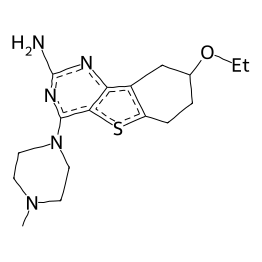 CCOC1CCc2sc3c(N4CCN(C)CC4)nc(N)nc3c2C1